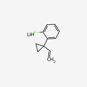 C=CC1(c2ccccc2F)CC1.[LiH]